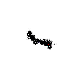 CC1CCc2ccccc2N1c1ccc2cc(-c3ccc(/C=C/c4ccc5c(c4)C(C)(C)C4C=C(N6c7ccccc7CCC6(C)C)C=CC54)c4ccccc34)ccc2c1